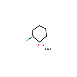 O.[CaH2].[F][Al]1[CH2]CCC[CH2]1